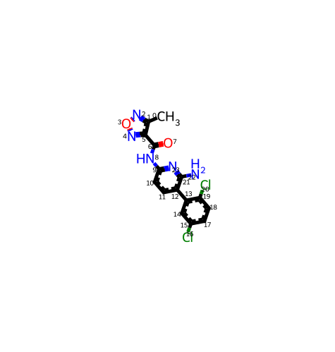 Cc1nonc1C(=O)Nc1ccc(-c2cc(Cl)ccc2Cl)c(N)n1